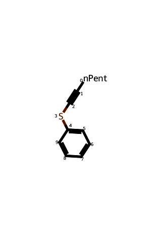 CCCCCC#CSc1ccccc1